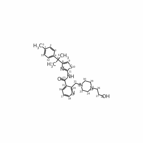 Cc1ccc(C(C)(C)c2csc(NC(=O)c3cccnc3CN3CCN(CCO)CC3)n2)cc1